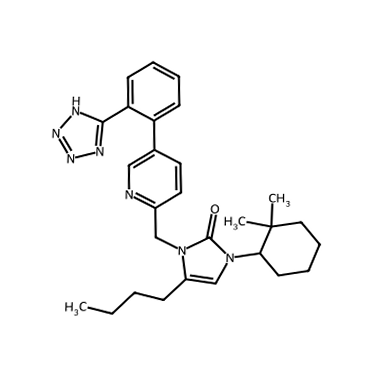 CCCCc1cn(C2CCCCC2(C)C)c(=O)n1Cc1ccc(-c2ccccc2-c2nnn[nH]2)cn1